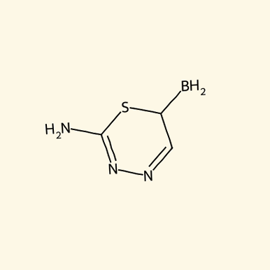 BC1C=NN=C(N)S1